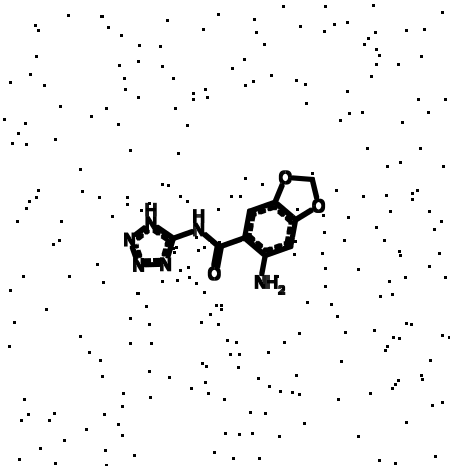 Nc1cc2c(cc1C(=O)Nc1nnn[nH]1)OCO2